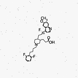 COc1ccc2nccc([C@@H](F)CCC3CCN(CCCCc4c(F)cccc4F)CC3CCC(=O)O)c2c1